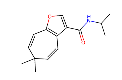 CC(C)NC(=O)c1coc2c1C=CC(C)(C)C=C2